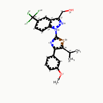 COc1cccc(-c2nc(-n3nc(CO)c4cc(C(F)(F)F)ccc43)sc2C(C)C)c1